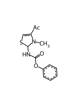 CC(=O)C1=CSC(NC(=O)Oc2ccccc2)N1C